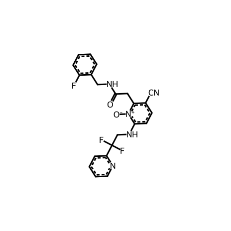 N#Cc1ccc(NCC(F)(F)c2ccccn2)[n+]([O-])c1CC(=O)NCc1ccccc1F